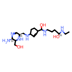 CCN[C@@H](O)CCCNC(O)C1C=CC(NC[C@@H]2C=N[C@H](N)C(CO)N2)CC1